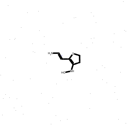 N/C=C/C1=C(NO)CCS1